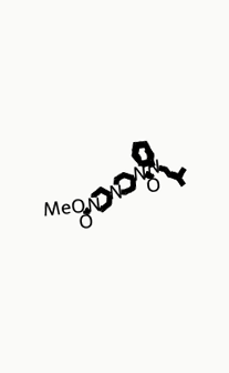 COC(=O)N1CCC(N2CCC(n3c(=O)n(CC=C(C)C)c4ccccc43)CC2)CC1